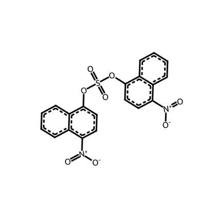 O=[N+]([O-])c1ccc(OS(=O)(=O)Oc2ccc([N+](=O)[O-])c3ccccc23)c2ccccc12